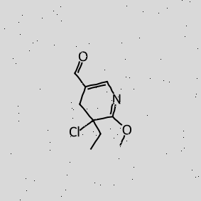 CCC1(Cl)CC(C=O)=CN=C1OC